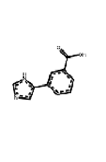 O=C(O)c1cccc(-c2cnc[nH]2)c1